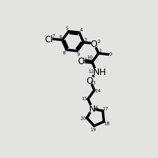 CC(Oc1ccc(Cl)cc1)C(=O)NOCCN1CCCC1